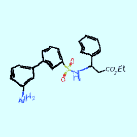 CCOC(=O)CC(NS(=O)(=O)c1cccc(-c2cccc(N)c2)c1)c1ccccc1